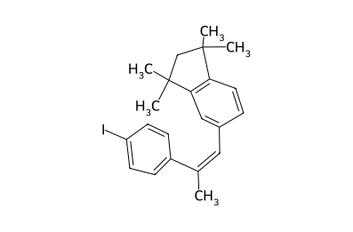 CC(=Cc1ccc2c(c1)C(C)(C)CC2(C)C)c1ccc(I)cc1